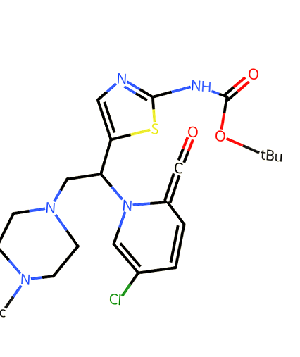 CC(=O)N1CCN(CC(c2cnc(NC(=O)OC(C)(C)C)s2)N2C=C(Cl)C=CC2=C=O)CC1